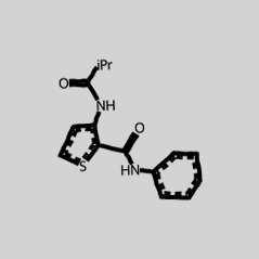 CC(C)C(=O)Nc1ccsc1C(=O)Nc1ccccc1